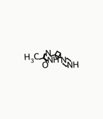 CCc1cnc(C23CC(C2)C(N2CCNCC2)C3)[nH]c1=O